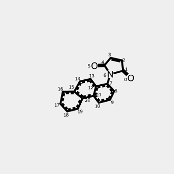 O=C1C=CC(=O)N1c1cccc2c1ccc1ccccc12